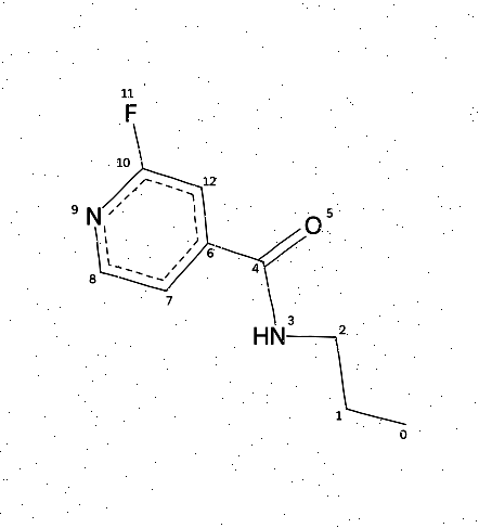 CCCNC(=O)c1ccnc(F)c1